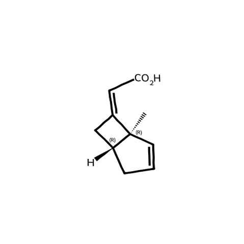 C[C@]12C=CC[C@@H]1CC2=CC(=O)O